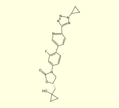 O=C1O[C@@H](CC2(O)CC2)CN1c1ccc(-c2ccc(-c3nnn(C4CC4)n3)nc2)c(F)c1